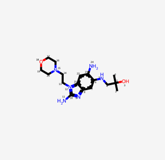 CC(C)(O)CNc1cc2nc(N)n(CCN3CCOCC3)c2cc1N